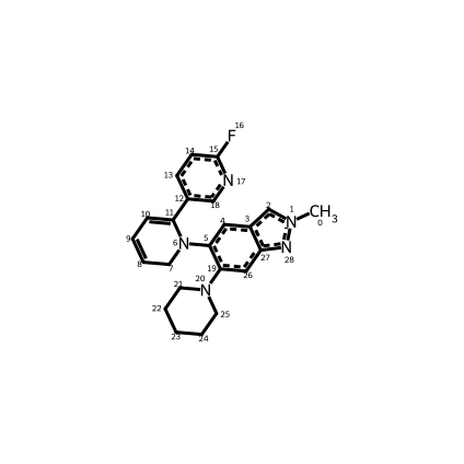 Cn1cc2cc(N3CC=CC=C3c3ccc(F)nc3)c(N3CCCCC3)cc2n1